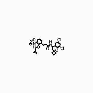 CS(=O)(=O)Nc1cccc(CCC(=O)NC2CC3(CCC3)Oc3c(Cl)cc(Cl)cc32)c1OCC1CC1